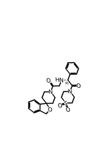 O=C(CN[C@@H](C(=O)N1CCS(=O)(=O)CC1)c1ccccc1)N1CCC2(CC1)OCc1ccccc12